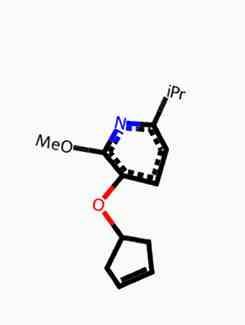 COc1nc(C(C)C)ccc1OC1CC=CC1